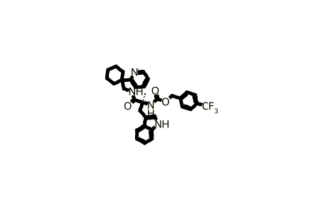 C[C@@](Cc1c[nH]c2ccccc12)(NC(=O)OCc1ccc(C(F)(F)F)cc1)C(=O)NCC1(c2ccccn2)CCCCC1